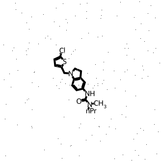 CCCN(C)C(=O)Nc1ccc2c(c1)CCN2Cc1ccc(Cl)s1